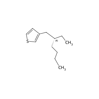 CCCC[C@@H](CC)Cc1ccsc1